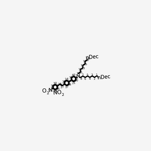 CCCCCCCCCCCCCCCCCCN(CCCCCCCCCCCCCCCCCC)c1ccc(-c2ccc(C=Cc3ccc([N+](=O)[O-])c([N+](=O)[O-])c3)cc2)cc1